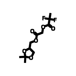 CC1(C)OCC(COC(=O)COC(=O)C(C)(F)F)O1